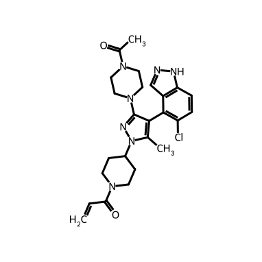 C=CC(=O)N1CCC(n2nc(N3CCN(C(C)=O)CC3)c(-c3c(Cl)ccc4[nH]ncc34)c2C)CC1